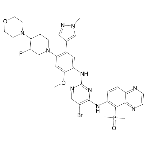 COc1cc(N2CCC(N3CCOCC3)C(F)C2)c(-c2cnn(C)c2)cc1Nc1ncc(Br)c(Nc2ccc3nccnc3c2P(C)(C)=O)n1